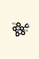 Cc1cc(-c2ccncc2)c(C#N)cc1-n1c2c(-c3ccccc3C#N)cccc2c2cccc(-c3ccccc3C#N)c21